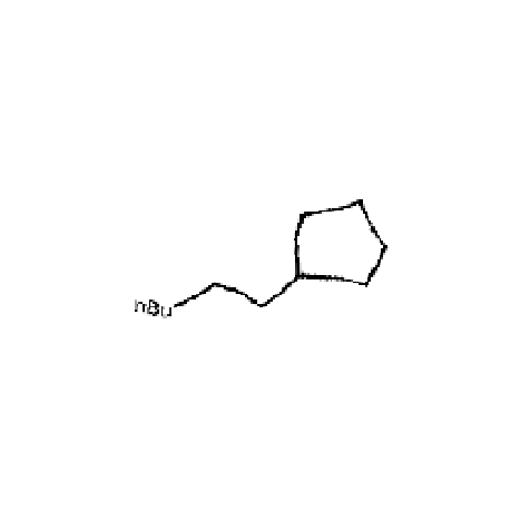 C[CH]CCCCC1CCCC1